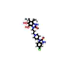 Bc1c(O)c(O)c2c([nH]c(=O)n2CCCN2CCC(n3c(=O)[nH]c4cc(Cl)ccc43)CC2)c1B